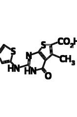 Cc1c(C(=O)O)sc2nc(Nc3cccs3)[nH]c(=O)c12